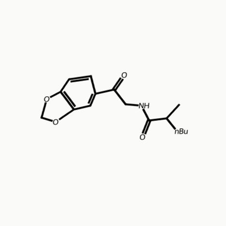 CCCCC(C)C(=O)NCC(=O)c1ccc2c(c1)OCO2